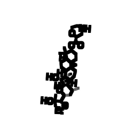 CCO[C@@H]([C@H]1C[C@@H](C)[C@H]2[C@H](O1)[C@H](O)[C@@]1(C)[C@@H]3CC[C@H]4C(C)(C)[C@@H](OC(=O)[C@@H]5CNCCO5)CCC45C[C@@]35CC[C@]21C)C(C)(C)O